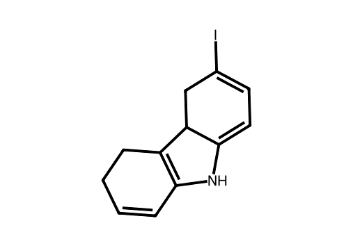 IC1=CC=C2NC3=C(CCC=C3)C2C1